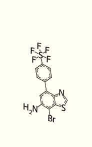 Nc1cc(-c2ccc(S(F)(F)(F)(F)F)cc2)c2ncsc2c1Br